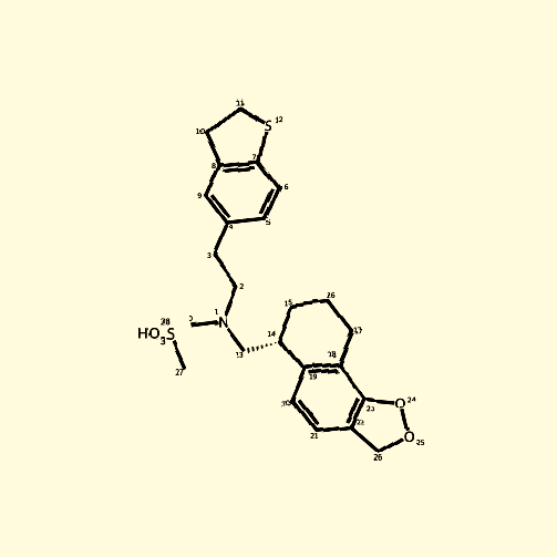 CN(CCc1ccc2c(c1)CCS2)C[C@@H]1CCCc2c1ccc1c2OOC1.CS(=O)(=O)O